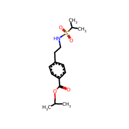 CC(C)OC(=O)c1ccc(CCNS(=O)(=O)C(C)C)cc1